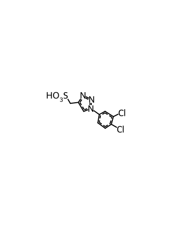 O=S(=O)(O)Cc1cn(-c2ccc(Cl)c(Cl)c2)nn1